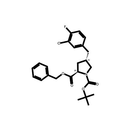 CC(C)(C)OC(=O)N1C[C@@H](Cc2ccc(F)c(Cl)c2)C[C@@H]1C(=O)OCc1ccccc1